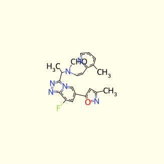 Cc1cc(-c2cc(F)c3nnc(C(C)N(C=O)/C=C\c4ncccc4C)n3c2)on1